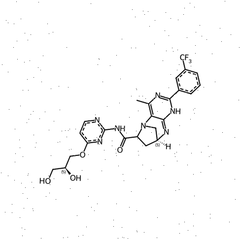 CC1=C2C(=N[C@H]3CC(C(=O)Nc4nccc(OC[C@@H](O)CO)n4)N2C3)NC(c2cccc(C(F)(F)F)c2)=N1